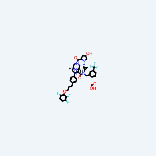 O=C(C1C[C@@H](O)CN1)N1C[C@@H]2CC(c3ccc(CCCOc4c(F)ccc(F)c4F)cc3)=C(C(=O)N(Cc3cccc(C(F)(F)F)c3)C3CC3)[C@H](C1)N2.O=CO